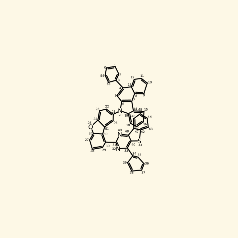 c1ccc(-c2cc3c(c4ccccc24)c2ccccc2n3-c2ccc3oc4cccc(-c5nc(-c6ccccc6)c6sc7ccccc7c6n5)c4c3c2)cc1